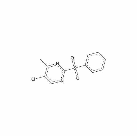 Cc1nc(S(=O)(=O)c2ccccc2)ncc1Cl